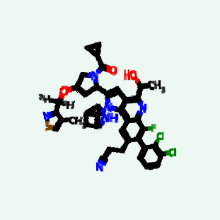 [2H]C([2H])(OC1CC(c2cc3c(C(C)O)nc4c(F)c(-c5cccc(Cl)c5Cl)c(CCC#N)cc4c3n2C2C3CNC2C3)N(C(=O)C2CC2)C1)c1nscc1C